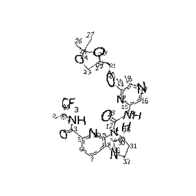 C[C@@H](NC(=O)c1ccc2c(n1)N(C(=O)Nc1cncc(OC[C@H]3COC(C)(C)O3)n1)[C@H]1CCN2C1)C(F)(F)F